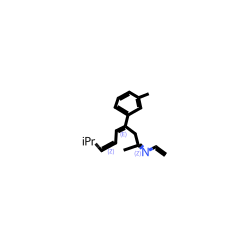 C=C/N=C(/C)C/C(=C\C=C/C(C)C)c1cccc(C)c1